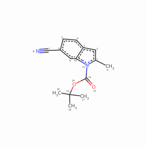 Cc1cc2ccc(C#N)cc2n1C(=O)OC(C)(C)C